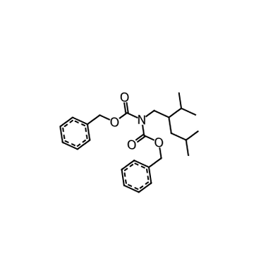 CC(C)CC(CN(C(=O)OCc1ccccc1)C(=O)OCc1ccccc1)C(C)C